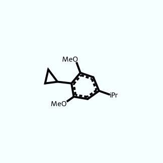 COc1cc(C(C)C)cc(OC)c1C1CC1